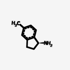 Cc1ccc2c(c1)CC[C@H]2N